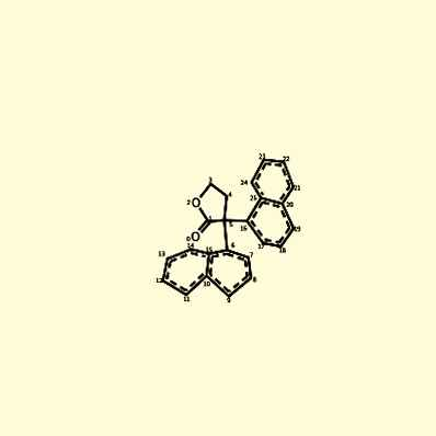 O=C1OCCC1(c1cccc2ccccc12)c1cccc2ccccc12